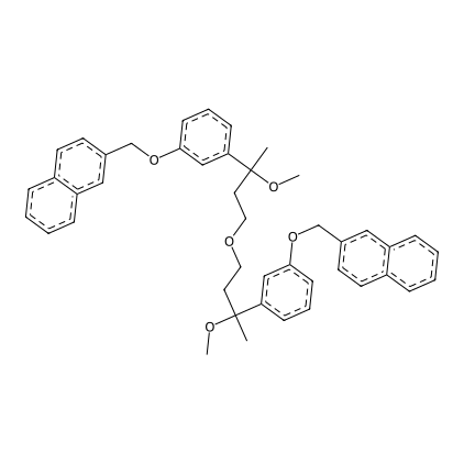 COC(C)(CCOCCC(C)(OC)c1cccc(OCc2ccc3ccccc3c2)c1)c1cccc(OCc2ccc3ccccc3c2)c1